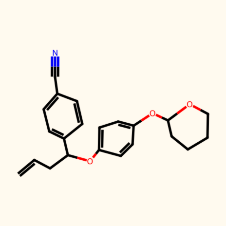 C=CCC(Oc1ccc(OC2CCCCO2)cc1)c1ccc(C#N)cc1